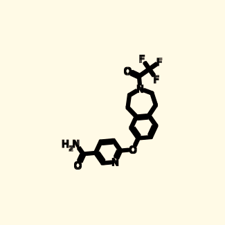 NC(=O)c1ccc(Oc2ccc3c(c2)CCN(C(=O)C(F)(F)F)CC3)nc1